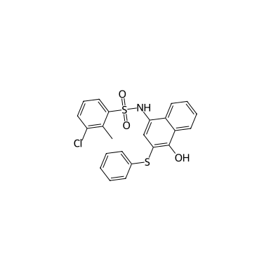 Cc1c(Cl)cccc1S(=O)(=O)Nc1cc(Sc2ccccc2)c(O)c2ccccc12